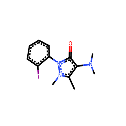 Cc1c(N(C)C)c(=O)n(-c2ccccc2I)n1C